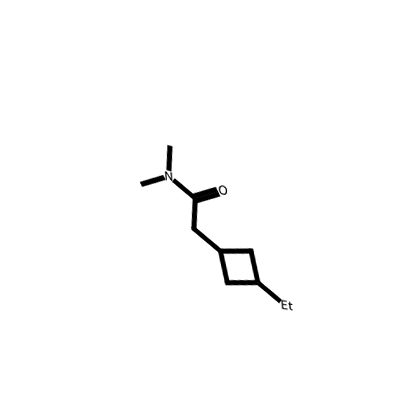 CCC1CC(CC(=O)N(C)C)C1